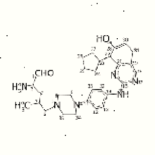 CC(CC(N)C=O)CN1CCN(c2ccc(Nc3ncc4c(n3)C(C3CCCC3)C(O)=CC4)cc2)CC1